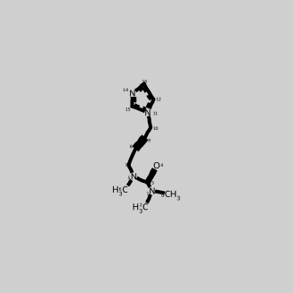 CN(C)C(=O)N(C)CC#CCn1ccnc1